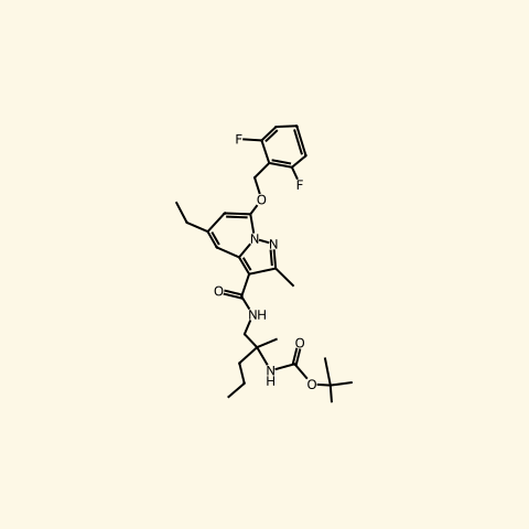 CCCC(C)(CNC(=O)c1c(C)nn2c(OCc3c(F)cccc3F)cc(CC)cc12)NC(=O)OC(C)(C)C